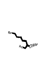 COC(CCCCCBr)CC(C)=O